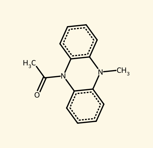 CC(=O)N1c2ccccc2N(C)c2ccccc21